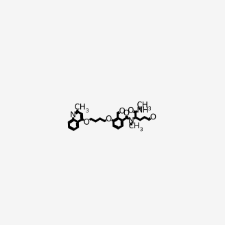 CNC(=O)C(CCC=O)N(C)C(=O)c1cccc(OCCCCOc2cc(C)nc3ccccc23)c1C=O